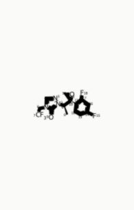 C[C@@H](n1ncn(CC(F)(F)F)c1=O)[C@@]1(c2ccc(F)cc2F)CO1